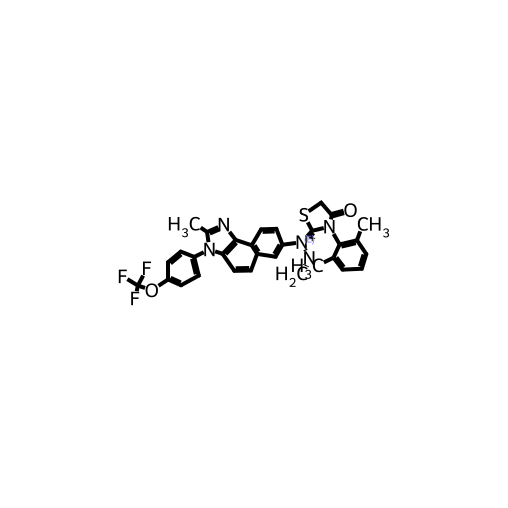 C=N/[N+](=C1/SCC(=O)N1c1c(C)cccc1C)c1ccc2c(ccc3c2nc(C)n3-c2ccc(OC(F)(F)F)cc2)c1